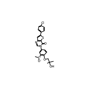 C[S+]([O-])c1cc(-n2cnc3cc(-c4ccc(Cl)cc4)sc3c2=O)ccc1OCC(C)(C)O